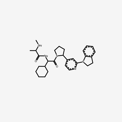 CNC(C)C(=O)NC(C(=O)N1CCCC1c1ccnc(N2CCc3ccccc32)c1)C1CCCCC1